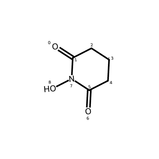 O=C1C[CH]CC(=O)N1O